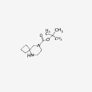 CC(C)(C)OC(=O)N1CCNC2(CCC2)C1